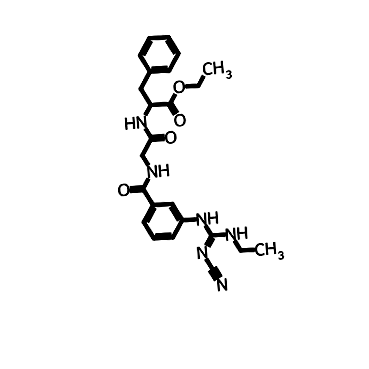 CCNC(=NC#N)Nc1cccc(C(=O)NCC(=O)NC(Cc2ccccc2)C(=O)OCC)c1